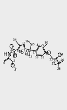 C=C(COC)NS(=O)(=O)c1sc(C(CC)(CC)c2ccc(OCC(=O)C(C)(C)C)c(C)c2)cc1C